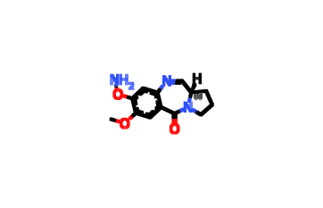 COc1cc2c(cc1ON)N=C[C@@H]1CCCN1C2=O